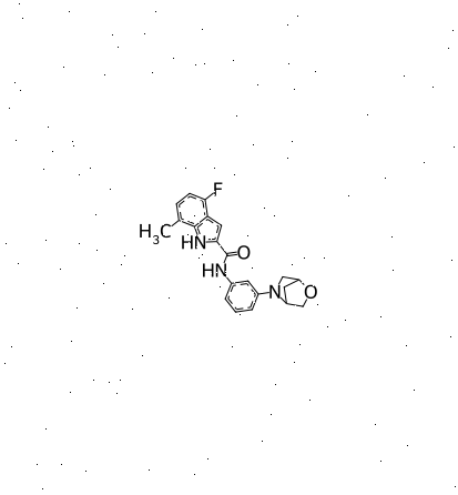 Cc1ccc(F)c2cc(C(=O)Nc3cccc(N4CC5CC4CO5)c3)[nH]c12